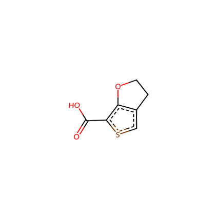 O=C(O)c1scc2c1OCC2